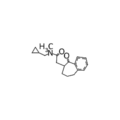 CN(CC1CC1)C(=O)CC1CCCc2ccccc2C1=O